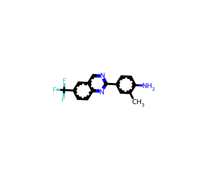 Cc1cc(-c2ncc3cc(C(F)(F)F)ccc3n2)ccc1N